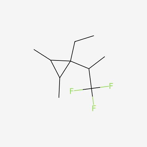 CCC1(C(C)C(F)(F)F)C(C)C1C